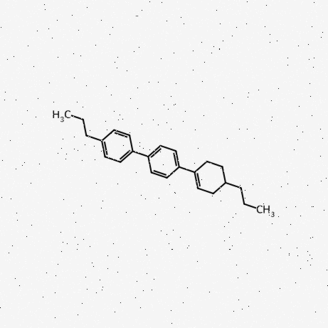 CCCc1ccc(-c2ccc(C3=CCC(CCC)CC3)cc2)cc1